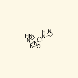 O=c1cnc2cnc3[nH]ccc3c2n1[C@H]1CC[C@H](NCc2cccnc2)CC1